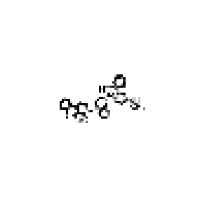 CN[C@@H]1CCN(C(=O)N2CC[C@@H](Cn3ccc(-c4ccccc4C)cc3=O)C3(CCCC3)C2)[C@H](C2(C)C=CC=CC2)C1